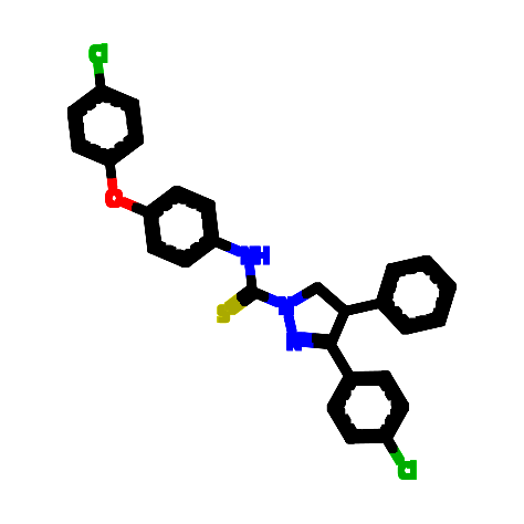 S=C(Nc1ccc(Oc2ccc(Cl)cc2)cc1)N1CC(c2ccccc2)C(c2ccc(Cl)cc2)=N1